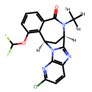 [2H]C([2H])([2H])N1C(=O)c2cccc(OC(F)F)c2[C@H]2C[C@@H]1c1nc3ccc(Cl)nc3n12